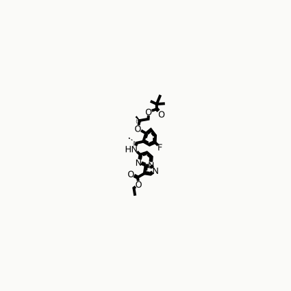 CCOC(=O)c1cnn2ccc(N[C@H](C)c3cc(F)ccc3O[C@@H](C)COC(=O)C(C)(C)C)nc12